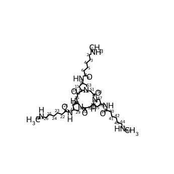 CNCCCCCC(=O)NC1CC2C(=O)C[C@@H]3CC(NC(=O)CCCCCNC)CN3C(=O)C[C@@H]3CC(NC(=O)CCCCCNC)CN3C(=O)CN2C1